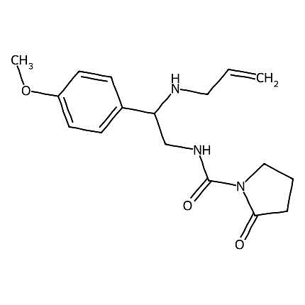 C=CCNC(CNC(=O)N1CCCC1=O)c1ccc(OC)cc1